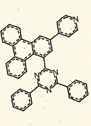 c1ccc(-c2nc(-c3ccccc3)nc(-c3cc(-c4ccncc4)cc4c5ccccc5c5ccccc5c34)n2)cc1